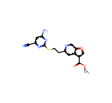 COC(=O)c1coc2cnc(CCSc3nc(N)cc(C#N)n3)cc12